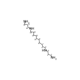 NCCCNCCCCCCCCCCNCCCN